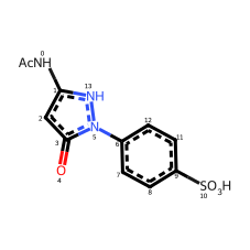 CC(=O)Nc1cc(=O)n(-c2ccc(S(=O)(=O)O)cc2)[nH]1